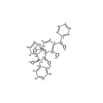 O=C(c1ccccc1)c1ccc(Cl)c(C(=O)P(=O)(c2ccccc2)c2ccccc2)c1Cl